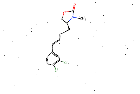 CN1C(=O)OC[C@@H]1CCC=Cc1ccc(Cl)c(Cl)c1